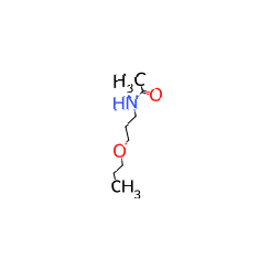 CCCOCCCNC(C)=O